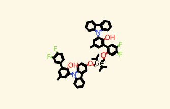 Cc1cc(-c2ccc(F)c(F)c2)c(O)c(-n2c3ccccc3c3cc(O[CH2][Ge]([CH2]Oc4cc(F)c(F)cc4-c4cc(C)cc(-n5c6ccccc6c6ccccc65)c4O)([CH](C)C)[CH](C)C)ccc32)c1